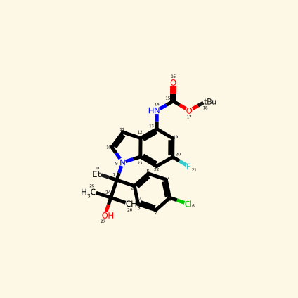 CCC(c1ccc(Cl)cc1)(n1ccc2c(NC(=O)OC(C)(C)C)cc(F)cc21)C(C)(C)O